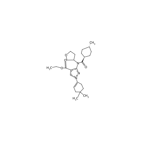 CCOC(=O)c1cn(C2=CCC(C)(C)CC2)nc1N(C(=O)[C@H]1CC[C@H](C)CC1)C1CCOC1